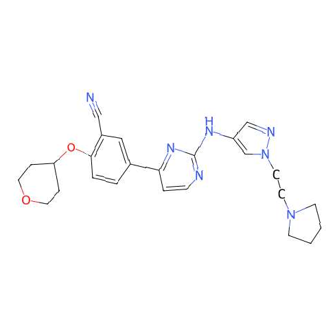 N#Cc1cc(-c2ccnc(Nc3cnn(CCN4CCCC4)c3)n2)ccc1OC1CCOCC1